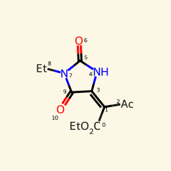 CCOC(=O)C(C(C)=O)=C1NC(=O)N(CC)C1=O